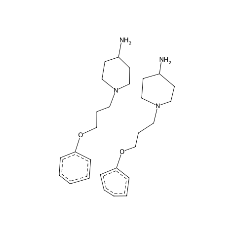 NC1CCN(CCCOc2ccccc2)CC1.NC1CCN(CCCOc2ccccc2)CC1